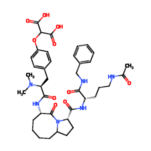 CC(=O)NCCC[C@H](NC(=O)[C@@H]1CCC2CCCC[C@H](NC(=O)[C@H](Cc3ccc(OC(C(=O)O)C(=O)O)cc3)N(C)C)C(=O)N21)C(=O)NCc1ccccc1